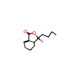 CCCCC1(I)OC(=O)C2=CCCCC21